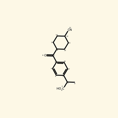 CC(C(=O)O)c1ccc(C(=O)C2CCC(C#N)CC2)cc1